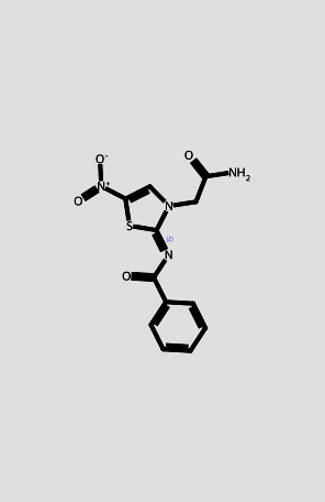 NC(=O)Cn1cc([N+](=O)[O-])s/c1=N\C(=O)c1ccccc1